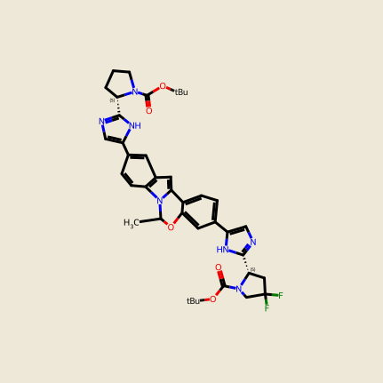 CC1Oc2cc(-c3cnc([C@@H]4CC(F)(F)CN4C(=O)OC(C)(C)C)[nH]3)ccc2-c2cc3cc(-c4cnc([C@@H]5CCCN5C(=O)OC(C)(C)C)[nH]4)ccc3n21